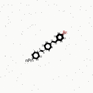 CCC[C@H]1CC[C@H](CC[C@H]2CC[C@H](CCc3ccc(Br)cc3)CC2)CC1